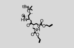 C=CCOC(=O)NC[C@@H](CN(C)C(=O)OCC=C)C(=O)C[C@H]1NC(=O)[C@@H]1[C@@H](C)O[Si](C)(C)C(C)(C)C